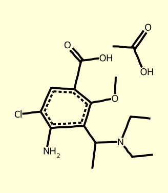 CC(=O)O.CCN(CC)C(C)c1c(N)c(Cl)cc(C(=O)O)c1OC